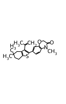 C=C(C)c1c(-c2ccc3c(c2)OCC(=O)N3C)sc2c1CC(C)(C)CC2